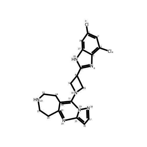 Clc1cc(Cl)c2nc(C3CN(c4c5c(nc6ccnn46)CCNCC5)C3)[nH]c2c1